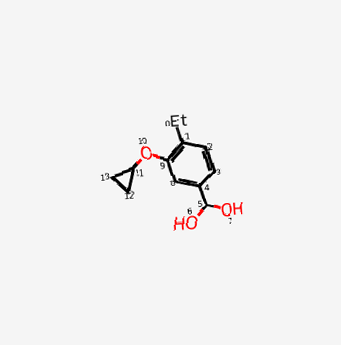 CCc1ccc(C(O)O)cc1OC1CC1